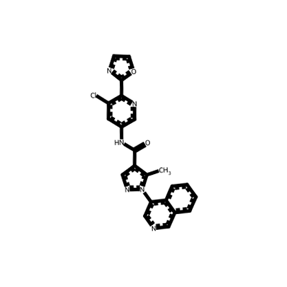 Cc1c(C(=O)Nc2cnc(-c3ncco3)c(Cl)c2)cnn1-c1cncc2ccccc12